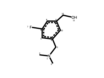 CN(C)Cc1cc(F)cc(CO)c1